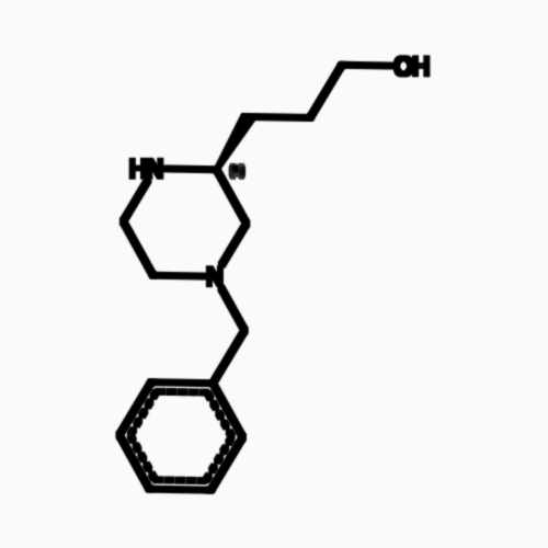 OCCC[C@H]1CN(Cc2ccccc2)CCN1